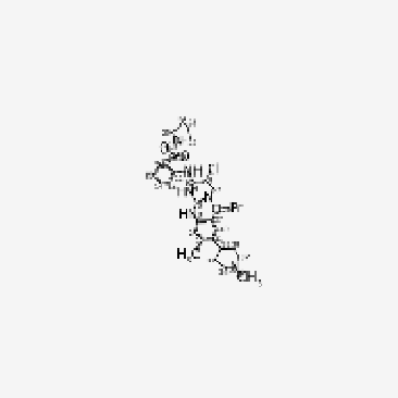 Cc1cc(NC2N=CC(Cl)=C(Nc3ccccc3S(=O)(=O)N3CCCC3)N2)c(OC(C)C)cc1C1CCN(C)CC1